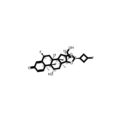 C[C@]12C[C@H](O)[C@@]3(F)[C@@H](C[C@H](F)C4=CC(=O)C=C[C@@]43C)[C@]1(C)C[C@H]1O[C@@H](C3CC(F)C3)O[C@]12C(=O)CO